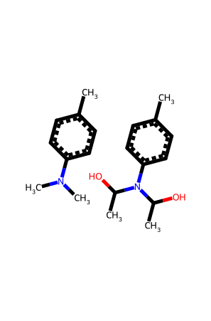 Cc1ccc(N(C(C)O)C(C)O)cc1.Cc1ccc(N(C)C)cc1